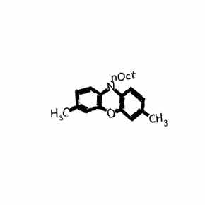 CCCCCCCCN1c2ccc(C)cc2Oc2cc(C)ccc21